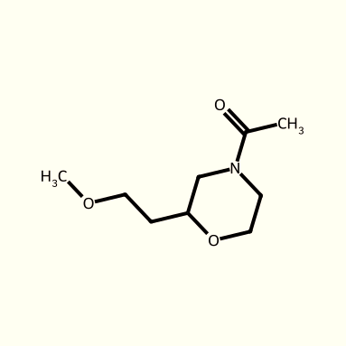 COCCC1CN(C(C)=O)CCO1